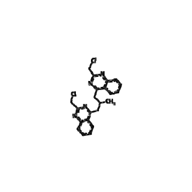 CC(Cc1nc(CCl)nc2ccccc12)Cc1nc(CCl)nc2ccccc12